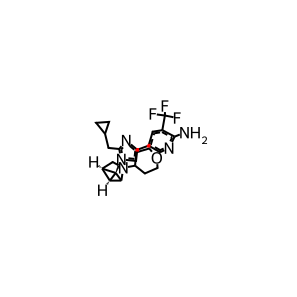 Nc1ncc(-c2cn([C@@]34C5[C@H]3[C@H]4CN5C3CCOCC3)c(CC3CC3)n2)cc1C(F)(F)F